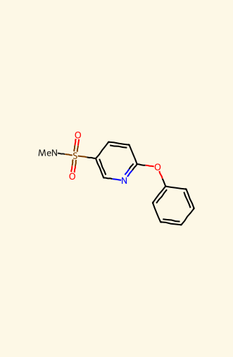 CNS(=O)(=O)c1ccc(Oc2ccccc2)nc1